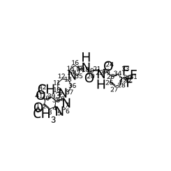 COc1cc2ncnc(N3CCCC(N4CC[C@@H](NC(=O)CNC(=O)c5cccc(C(F)(F)F)c5)C4)CC3)c2cc1OC